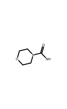 [NH]C(=O)N1CCOCC1